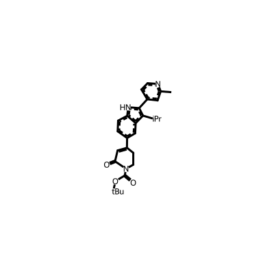 Cc1cc(-c2[nH]c3ccc(C4=CC(=O)N(C(=O)OC(C)(C)C)CC4)cc3c2C(C)C)ccn1